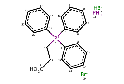 Br.O=C(O)CC[P+](c1ccccc1)(c1ccccc1)c1ccccc1.P.[Br-]